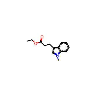 CCOC(=O)CCc1cn(C)c2ccccc12